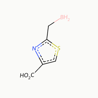 BCc1nc(C(=O)O)cs1